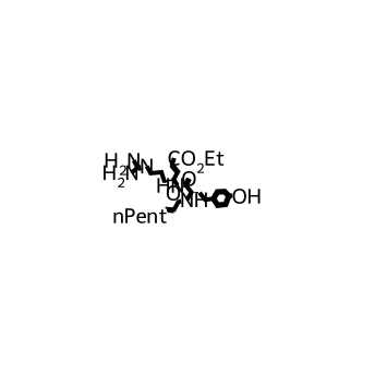 CCCCC/C=C/C(=O)N[C@@H](CCc1ccc(O)cc1)C(=O)N[C@H](/C=C/C(=O)OCC)CCCN=C(N)N